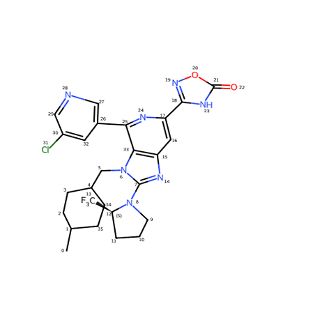 CC1CCC(Cn2c(N3CCC[C@H]3C(F)(F)F)nc3cc(-c4noc(=O)[nH]4)nc(-c4cncc(Cl)c4)c32)CC1